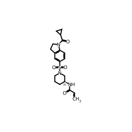 C=CC(=O)N[C@H]1CCCN(S(=O)(=O)c2ccc3c(c2)CCN3C(=O)C2CC2)C1